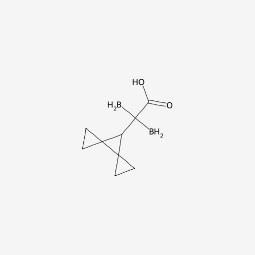 BC(B)(C(=O)O)C1C2(CC2)C12CC2